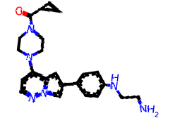 NCCNc1ccc(-c2cc3c(N4CCN(C(=O)C5CC5)CC4)ccnn3c2)cc1